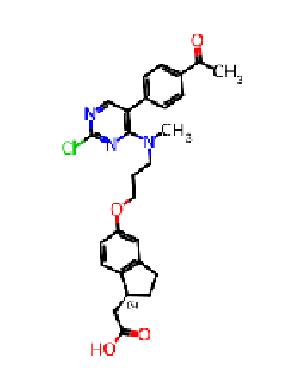 CC(=O)c1ccc(-c2cnc(Cl)nc2N(C)CCCOc2ccc3c(c2)CC[C@H]3CC(=O)O)cc1